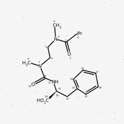 CC(C)C(=O)N(C)CCN(C)C(=O)N[C@@H](Cc1ccccc1)C(=O)O